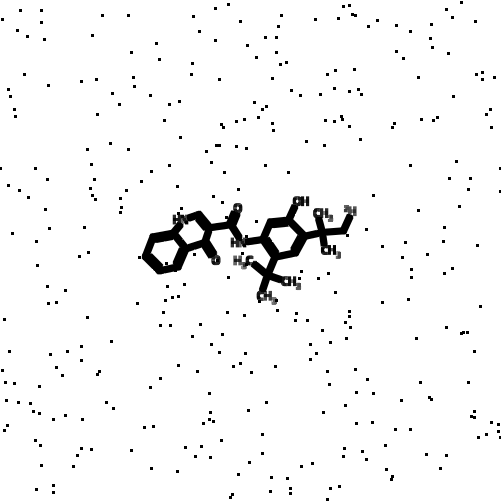 [2H]CC(C)(C)c1cc(C(C)(C)C)c(NC(=O)c2c[nH]c3ccccc3c2=O)cc1O